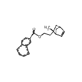 CC1(CCOC(=O)c2ccc3ccccc3c2)CC2C=CC1C2